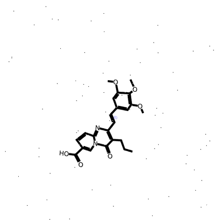 CCCc1c(/C=C/c2cc(OC)c(OC)c(OC)c2)nc2ccc(C(=O)O)cn2c1=O